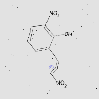 O=[N+]([O-])/C=C/c1cccc([N+](=O)[O-])c1O